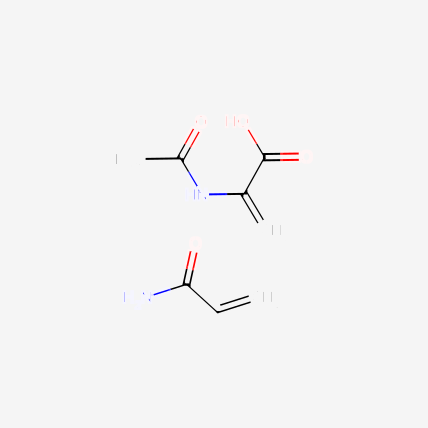 C=C(NC(C)=O)C(=O)O.C=CC(N)=O